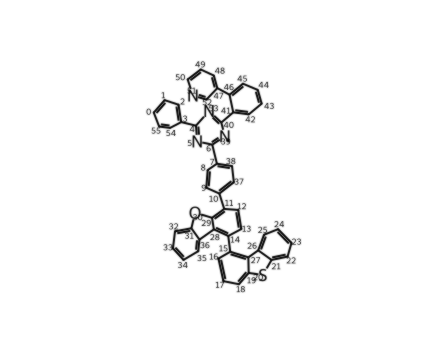 c1ccc(-c2nc(-c3ccc(-c4ccc(-c5cccc6sc7ccccc7c56)c5c4oc4ccccc45)cc3)nc(-c3ccccc3-c3cccnc3)n2)cc1